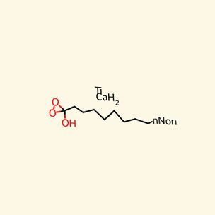 CCCCCCCCCCCCCCCCCC1(O)OO1.[CaH2].[Ti]